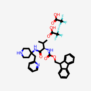 CC(C)[C@@H](NC(=O)OCC1c2ccccc2-c2ccccc21)C(=O)NC1(Cc2ccccn2)CCNCC1.O=C(O)C(F)(F)F.O=C(O)C(F)(F)F